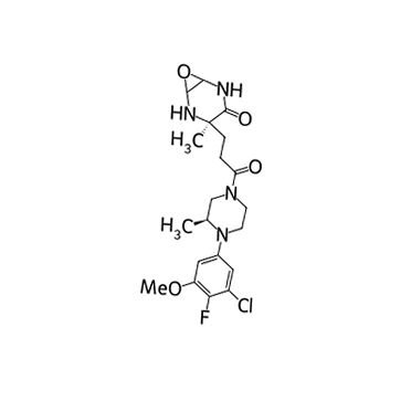 COc1cc(N2CCN(C(=O)CC[C@@]3(C)NC4OC4NC3=O)C[C@@H]2C)cc(Cl)c1F